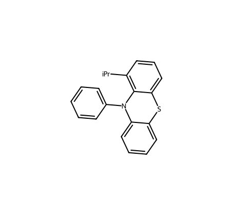 CC(C)c1cccc2c1N(c1ccccc1)c1ccccc1S2